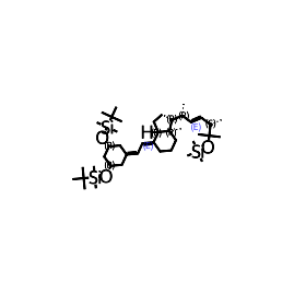 C[C@H](/C=C/[C@H](C)C(C)(C)O[Si](C)(C)C)[C@H]1CC[C@H]2/C(=C/C=C3C[C@@H](O[Si](C)(C)C(C)(C)C)C[C@H](O[Si](C)(C)C(C)(C)C)C3)CCC[C@]12C